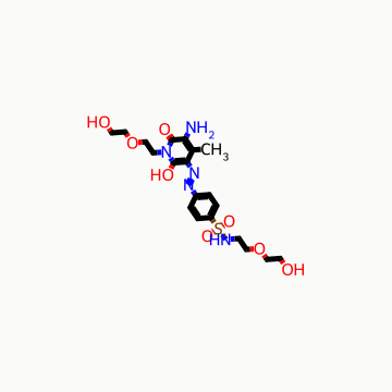 Cc1c(/N=N/c2ccc(S(=O)(=O)NCCOCCO)cc2)c(O)n(CCOCCO)c(=O)c1N